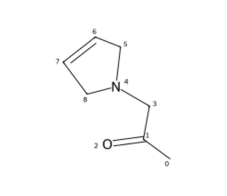 CC(=O)CN1CC=CC1